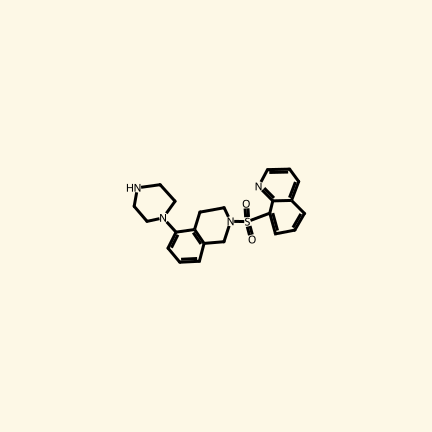 O=S(=O)(c1cccc2cccnc12)N1CCc2c(cccc2N2CCNCC2)C1